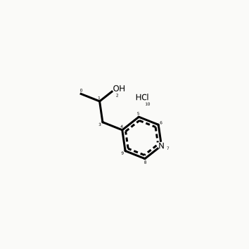 CC(O)Cc1ccncc1.Cl